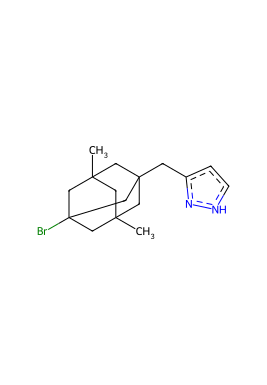 CC12CC3(C)CC(Br)(C1)CC(Cc1cc[nH]n1)(C2)C3